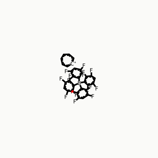 Fc1cc(F)c(F)c([B-](c2c(F)c(F)cc(F)c2F)(c2c(F)c(F)cc(F)c2F)c2c(F)c(F)cc(F)c2F)c1F.c1ccc[cH+]cc1